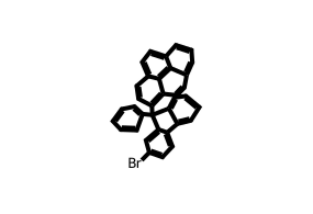 Brc1ccc2c(c1)C(c1ccccc1)(c1ccc3ccc4cccc5ccc1c3c45)c1ccccc1-2